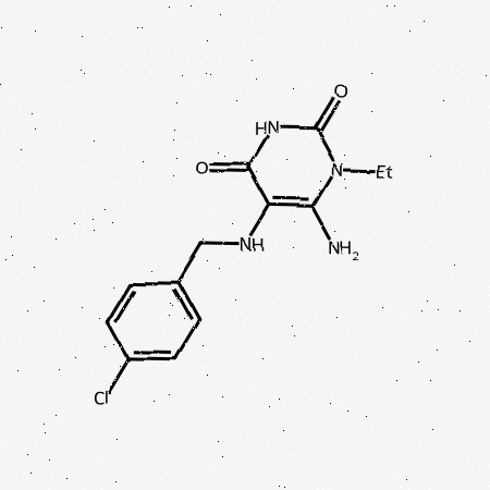 CCn1c(N)c(NCc2ccc(Cl)cc2)c(=O)[nH]c1=O